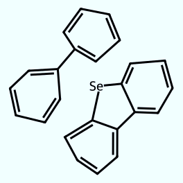 c1ccc(-c2ccccc2)cc1.c1ccc2c(c1)[se]c1ccccc12